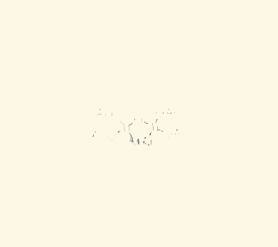 CC(=O)[O][Ti]([O]C(C)=O)([O]C(C)=O)[O][Ti]([O]C(C)=O)([O]C(C)=O)[O]C(C)=O